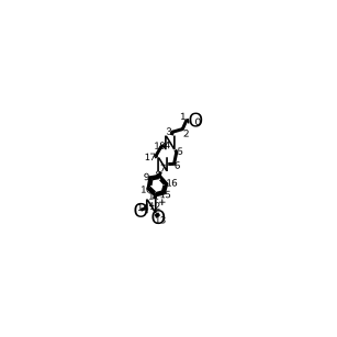 O=CCCN1CCN(c2ccc([N+](=O)[O-])cc2)CC1